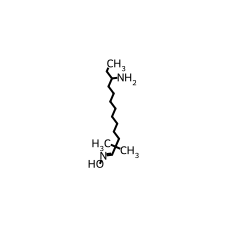 CCC(N)CCCCCCCCC(C)(C)/C=N/O